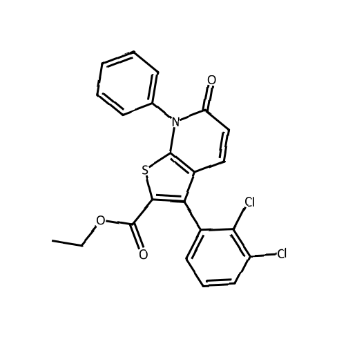 CCOC(=O)c1sc2c(ccc(=O)n2-c2ccccc2)c1-c1cccc(Cl)c1Cl